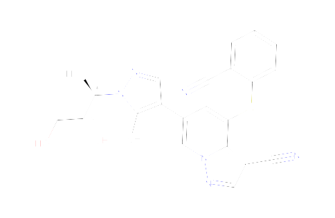 Cc1c(-c2cc(Sc3ccccc3C#N)c3c(C#N)cnn3c2)cnn1[C@H](C)[C@H](O)CO